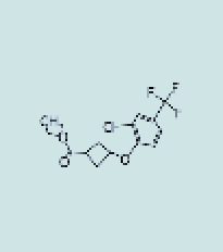 CCOC(=O)C1CC(Oc2ccc(C(F)(F)F)cc2Cl)C1